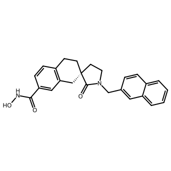 O=C(NO)c1ccc2c(c1)C[C@]1(CC2)CCN(Cc2ccc3ccccc3c2)C1=O